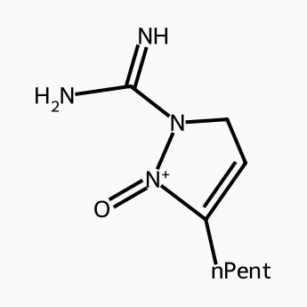 CCCCCC1=CCN(C(=N)N)[N+]1=O